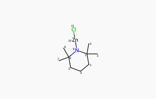 CC1(C)CCCC(C)(C)[N]1[Zn][Cl]